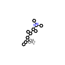 CC1(C)c2cc(-c3ccc(-c4ccc(-c5cc(-c6ccccc6)nc(-c6ccccc6)n5)c5ccccc45)c4ccccc34)ccc2-c2cc3ccccc3cc21